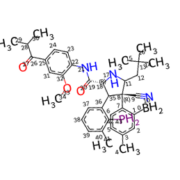 Bc1cc(C)ccc1[C@@]1(C#N)C(CC(C)(C)C)N[C@@H](C(=O)Nc2ccc(C(=O)C(C)C)cc2OC)C1c1cccc(C)c1P